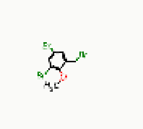 COc1c(Br)cc(Br)cc1CBr